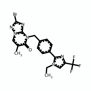 CCn1cc(C(F)(F)F)nc1-c1ccc(Cn2c(=O)c(C)cn3nc(Br)nc23)cc1